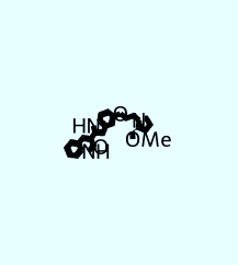 COC[C@H]1CCCN1CCOc1ccc2[nH]c(-c3cc4ccccc4[nH]c3=O)cc2c1